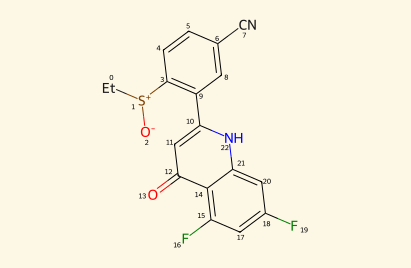 CC[S+]([O-])c1ccc(C#N)cc1-c1cc(=O)c2c(F)cc(F)cc2[nH]1